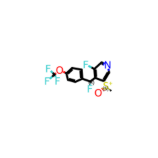 C[S@@+]([O-])c1cncc(F)c1[C@H](F)c1ccc(OC(F)(F)F)cc1